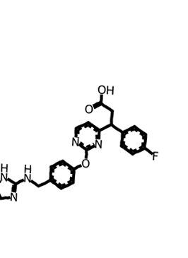 O=C(O)CC(c1ccc(F)cc1)c1ccnc(Oc2ccc(CNC3=NCCN3)cc2)n1